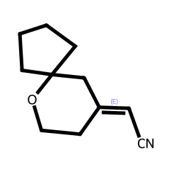 N#C/C=C1\CCOC2(CCCC2)C1